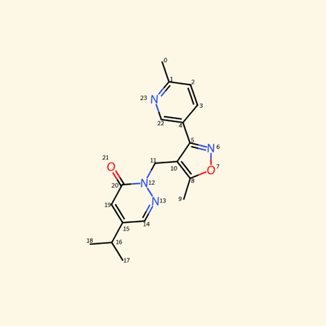 Cc1ccc(-c2noc(C)c2Cn2ncc(C(C)C)cc2=O)cn1